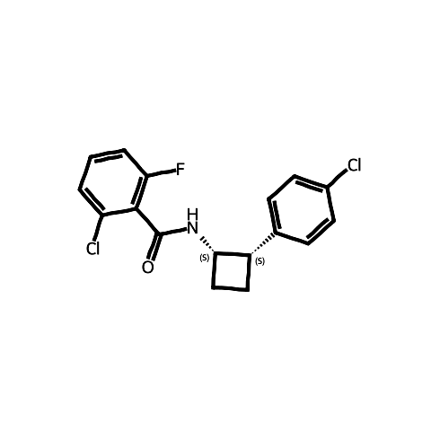 O=C(N[C@H]1CC[C@H]1c1ccc(Cl)cc1)c1c(F)cccc1Cl